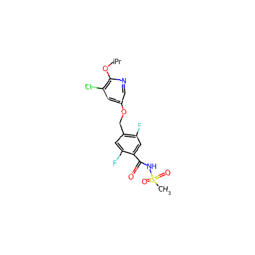 CC(C)Oc1ncc(OCc2cc(F)c(C(=O)NS(C)(=O)=O)cc2F)cc1Cl